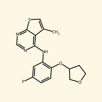 Cc1csc2ncnc(Nc3cc(F)ccc3OC3CCOC3)c12